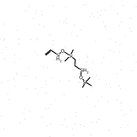 C=C[SiH2]O[Si](C)(C)CC[SiH2]O[Si](C)(C)C